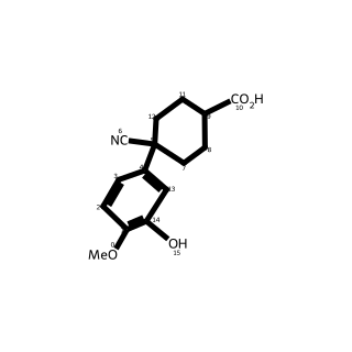 COc1ccc(C2(C#N)CCC(C(=O)O)CC2)cc1O